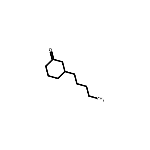 CCCCC[C]1CCCC(=O)C1